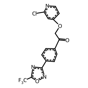 O=C(COc1ccnc(Cl)c1)c1ccc(-c2noc(C(F)(F)F)n2)cc1